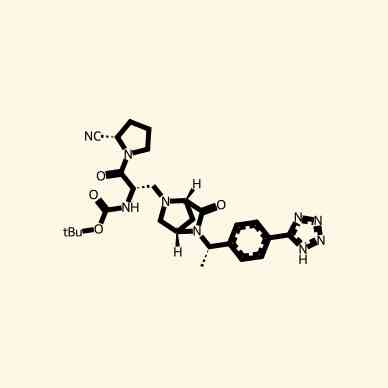 C[C@@H](c1ccc(-c2nnn[nH]2)cc1)N1C(=O)[C@@H]2C[C@H]1CN2C[C@H](NC(=O)OC(C)(C)C)C(=O)N1CCC[C@H]1C#N